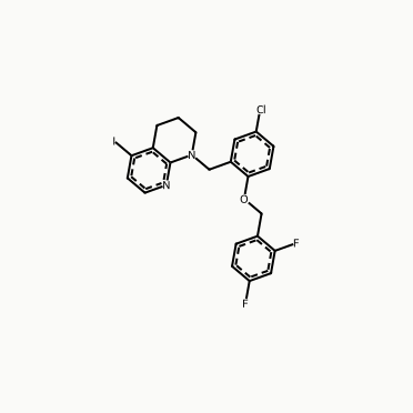 Fc1ccc(COc2ccc(Cl)cc2CN2CCCc3c(I)ccnc32)c(F)c1